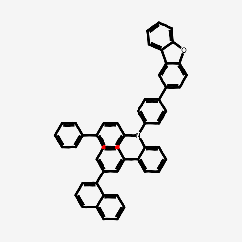 c1ccc(-c2ccc(N(c3ccc(-c4ccc5oc6ccccc6c5c4)cc3)c3ccccc3-c3cccc(-c4cccc5ccccc45)c3)cc2)cc1